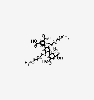 COCCOCCOc1cc(C2C=C(C(=O)O)C=C(C(=O)O)C2C)c(OCCOCCOC)cc1-c1cc(C(=O)O)cc(C(=O)O)c1